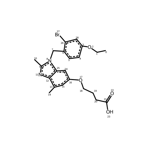 CCOc1ccc(Cn2c(C)nc3c(C)cc(OCCCC(=O)O)cc32)c(Br)c1